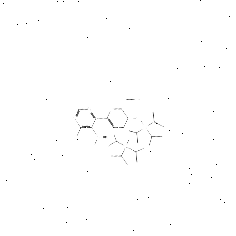 CC(C)[Si](O[C@H]1[C@H](O[Si](C(C)C)(C(C)C)C(C)C)C=C(c2ncnc(Cl)c2[N+](=O)[O-])O[C@@H]1CO)(C(C)C)C(C)C